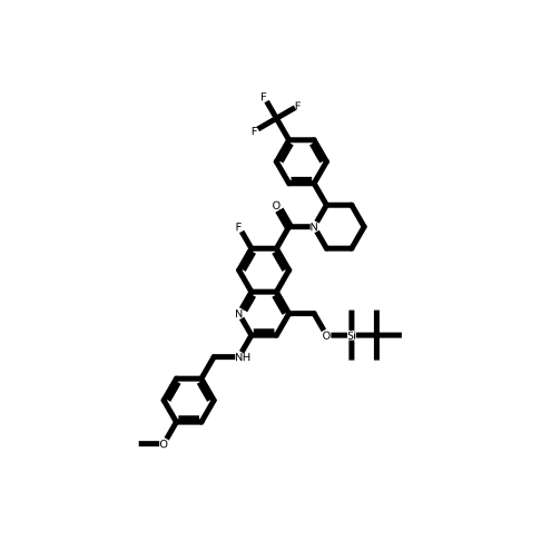 COc1ccc(CNc2cc(CO[Si](C)(C)C(C)(C)C)c3cc(C(=O)N4CCCCC4c4ccc(C(F)(F)F)cc4)c(F)cc3n2)cc1